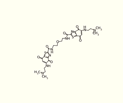 CN(C)CCNC1=CC(=O)c2sc(C(=O)NCCOCCNC(=O)c3nc4c(s3)C(=O)C=C(NCCN(C)C)C4=O)nc2C1=O